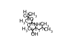 CC(C)C[C@H](NC(=O)OC(C)(C)C)C(C)O